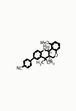 COc1cccc2c1[C@H]1Nc3ccc(-c4ccc(C#N)cc4)cc3C(C)(C)[C@@H]1CO2